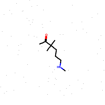 CNCCCC(C)(C)C(C)=O